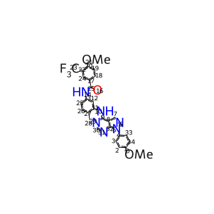 COc1ccc(-n2ncc3c(Nc4cc(NC(=O)c5ccc(OC)c(C(F)(F)F)c5)ccc4C)ncnc32)cc1